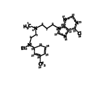 CCN(CCN(C)CCCn1cnc2c(Cl)ncnc21)C1C=C(C(F)(F)F)C=CC1